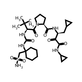 CC(C)(C)[C@H](NC(=O)NC1(CS(N)(=O)=O)CCCCC1)C(=O)N1CCC[C@H]1C(=O)N[C@@H](CC1CC1)C(=O)C(=O)NC1CC1